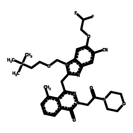 Cc1cccc2c(=O)n(CC(=O)N3CCOCC3)nc(Cc3nc4cc(C#N)c(OCC(F)F)cc4n3COCCS(C)(C)C)c12